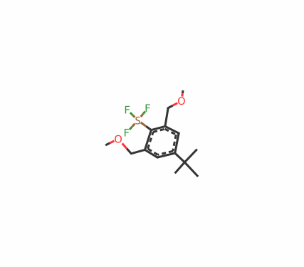 COCc1cc(C(C)(C)C)cc(COC)c1S(F)(F)F